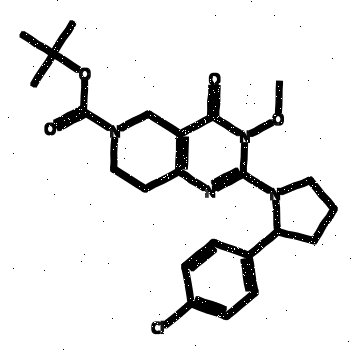 COn1c(N2CCCC2c2ccc(Cl)cc2)nc2c(c1=O)CN(C(=O)OC(C)(C)C)CC2